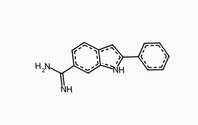 N=C(N)c1ccc2cc(-c3ccccc3)[nH]c2c1